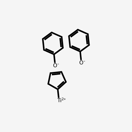 [O-]c1ccccc1.[O-]c1ccccc1.[Ti+2][C]1=CC=CC1